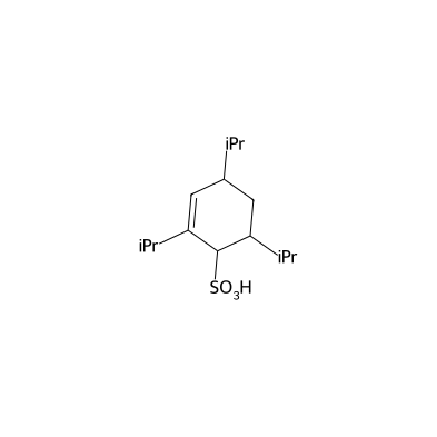 CC(C)C1=CC(C(C)C)CC(C(C)C)C1S(=O)(=O)O